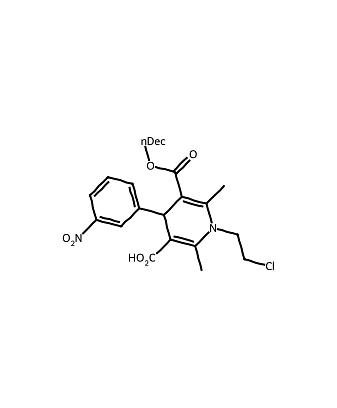 CCCCCCCCCCOC(=O)C1=C(C)N(CCCl)C(C)=C(C(=O)O)C1c1cccc([N+](=O)[O-])c1